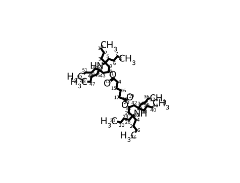 CCCCC1(CCCC)CC(OC(=O)CCCCC(=O)OC2CC(CCCC)(CCCC)NC(CCCC)(CCCC)C2)CC(CCCC)(CCCC)N1